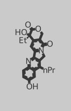 CCCc1c2c(nc3ccc(O)cc13)-c1cc3c(c(=O)n1C2)COC(=O)[C@]3(O)CC